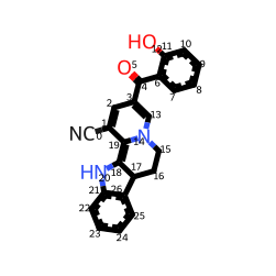 N#CC1=CC(C(=O)c2ccccc2O)=CN2CCC3C(=C12)Nc1ccccc13